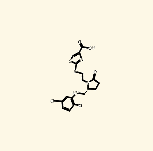 O=C(O)c1csc(SCCN2C(=O)CC[C@@H]2CNc2cc(Cl)ccc2Cl)n1